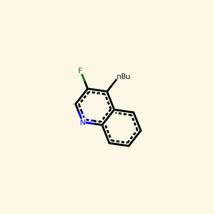 CCCCc1c(F)[c]nc2ccccc12